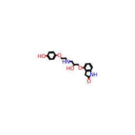 O=C1Cc2c(cccc2OCC(O)CNCCOc2ccc(O)cc2)N1